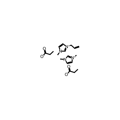 C=CC[n+]1ccn(C)c1.CCC(=O)[O-].CCC(=O)[O-].Cn1cc[n+](C)c1